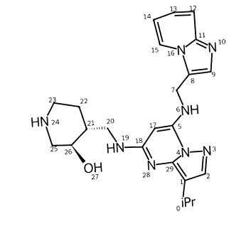 CC(C)c1cnn2c(NCc3cnc4ccccn34)cc(NC[C@H]3CCNC[C@@H]3O)nc12